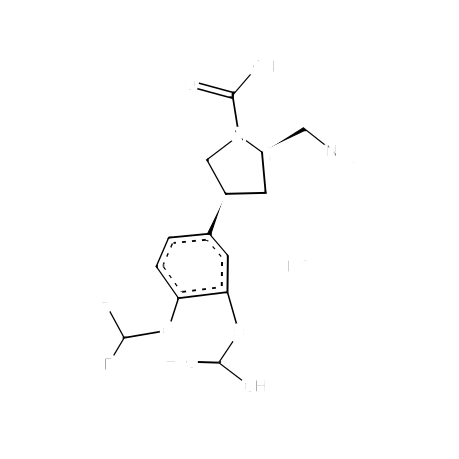 CC(=O)N1C[C@H](c2ccc(OC(F)F)c(OC(C)C)c2)C[C@@H]1CN.Cl